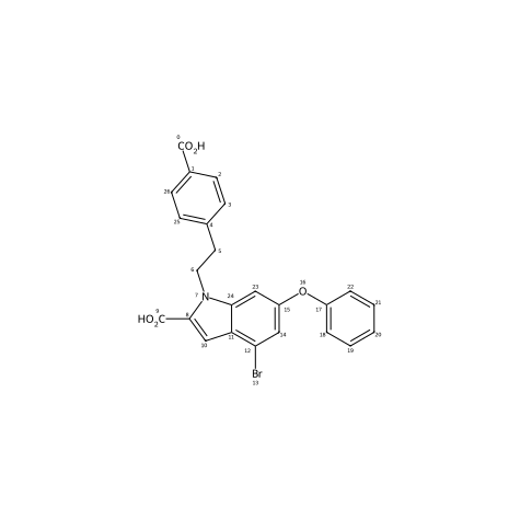 O=C(O)c1ccc(CCn2c(C(=O)O)cc3c(Br)cc(Oc4ccccc4)cc32)cc1